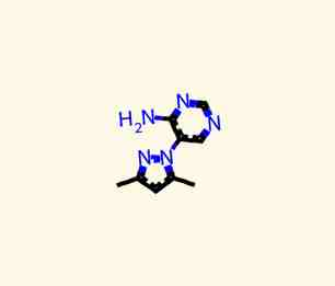 Cc1cc(C)n(-c2cncnc2N)n1